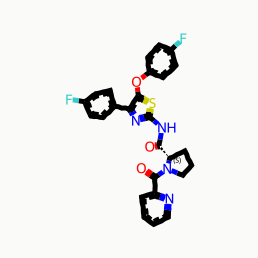 O=C(Nc1nc(-c2ccc(F)cc2)c(Oc2ccc(F)cc2)s1)[C@@H]1CCCN1C(=O)c1ccccn1